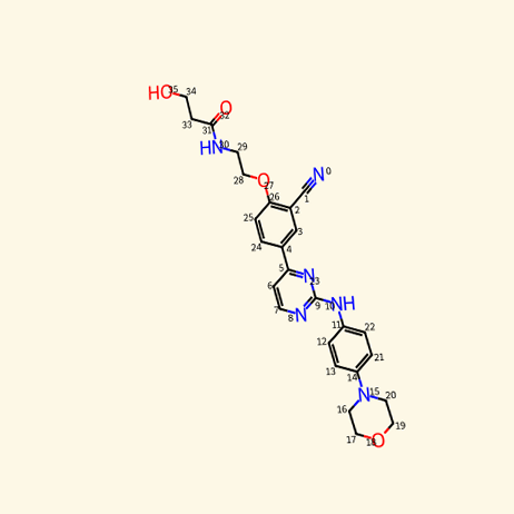 N#Cc1cc(-c2ccnc(Nc3ccc(N4CCOCC4)cc3)n2)ccc1OCCNC(=O)CCO